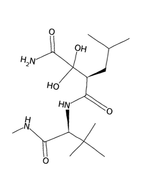 CNC(=O)[C@@H](NC(=O)[C@H](CC(C)C)C(O)(O)C(N)=O)C(C)(C)C